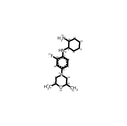 CC1CN(c2ccc(NC3CCCCC3N)c(F)c2)CC(C)O1